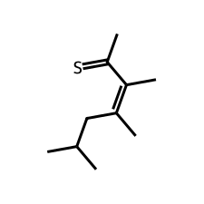 CC(=S)/C(C)=C(/C)CC(C)C